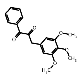 COc1cc(CC(=O)C(=O)c2ccccc2)cc(OC)c1OC